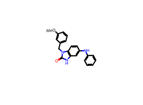 COc1cccc(Cn2c(=O)[nH]c3cc(Nc4ccccc4)ccc32)c1